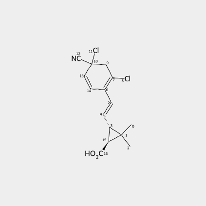 CC1(C)[C@@H](C=CC2=C(Cl)CC(Cl)(C#N)C=C2)[C@@H]1C(=O)O